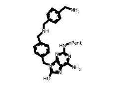 CCCCCNc1nc(N)c2nc(O)n(Cc3ccc(CNCc4ccc(CN)cc4)cc3)c2n1